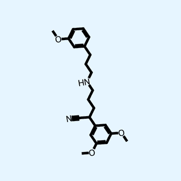 COc1cccc(CCCNCCCC(C#N)c2cc(OC)cc(OC)c2)c1